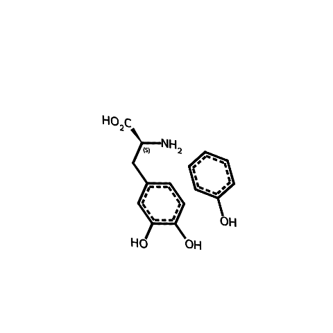 N[C@@H](Cc1ccc(O)c(O)c1)C(=O)O.Oc1ccccc1